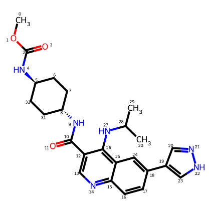 COC(=O)N[C@H]1CC[C@H](NC(=O)c2cnc3ccc(-c4cn[nH]c4)cc3c2NC(C)C)CC1